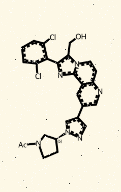 CC(=O)N1CC[C@H](n2cc(-c3cnc4ccn5c(CO)c(-c6c(Cl)cccc6Cl)nc5c4c3)cn2)C1